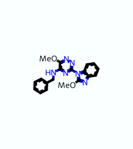 COc1nnc(-n2c(OC)nc3ccccc32)nc1NCc1ccccc1